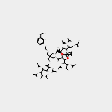 CCC(OC(C)=O)C(OC(C)=O)C(OC(C)=O)C(OC(C)=O)C(=O)NCC(CNCOc1cccc(CCl)c1)(CNC(=O)C(OC(C)=O)C(OC(C)=O)C(OC(C)=O)C(CC)OC(C)=O)CNC(=O)C(OC(C)=O)C(OC(C)=O)C(OC(C)=O)C(COC(C)=O)OC(C)=O